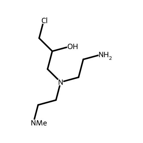 CNCCN(CCN)CC(O)CCl